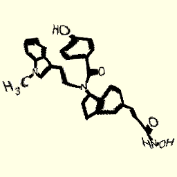 Cn1cc(CCN(C(=O)c2ccc(O)cc2)C2CCc3cc(C=CC(=O)NO)ccc32)c2ccccc21